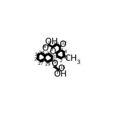 Cc1ccc2oc(C(=O)O)cc(=O)c2c1.O=C(O)COc1ccc2ccccc2c1